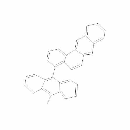 Brc1c2ccccc2c(-c2cccc3c2ccc2cc4ccccc4cc23)c2ccccc12